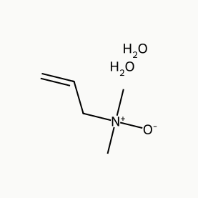 C=CC[N+](C)(C)[O-].O.O